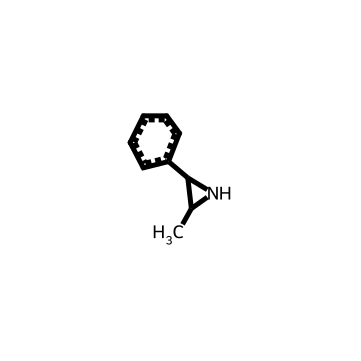 CC1NC1c1ccccc1